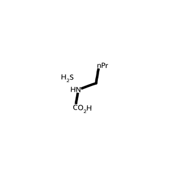 CCCCNC(=O)O.S